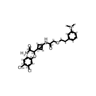 CN(C)c1cccc(CCOCC(=O)NC23CC(C(Oc4ccc(Cl)c(Cl)c4)C(N)=O)(C2)C3)c1